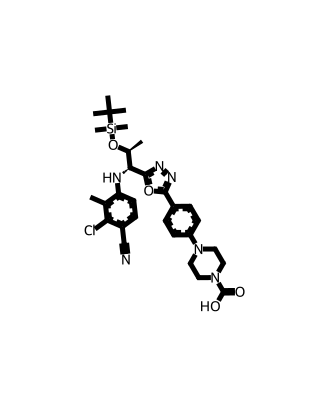 Cc1c(N[C@@H](c2nnc(-c3ccc(N4CCN(C(=O)O)CC4)cc3)o2)[C@H](C)O[Si](C)(C)C(C)(C)C)ccc(C#N)c1Cl